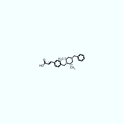 C[C@@H]1CN(Cc2ccccc2)C[C@H](C)N1Cc1ccc(/C=C/C(=O)O)cc1